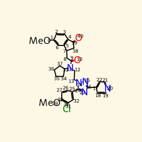 COc1ccc2c(c1)C(CC(=O)N(CCn1nc(-c3ccncc3)nc1-c1ccc(OC)c(Cl)c1)C1CCCC1)CC2=O